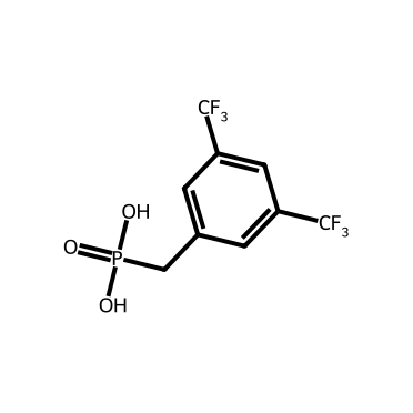 O=P(O)(O)Cc1cc(C(F)(F)F)cc(C(F)(F)F)c1